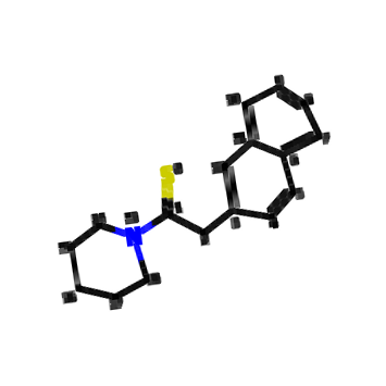 S=C(Cc1ccc2ccccc2c1)N1CCCCC1